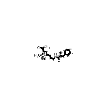 C/C(Cl)=C\C[C@@H](C/C=C\NC(=O)[C@@H](N)Cc1ccccc1)O[Si](C)(C)C(C)(C)C